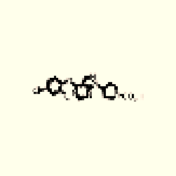 O=C(O)N1CCC(n2ncc3c(Oc4ccc(Cl)cc4Cl)ncnc32)CC1